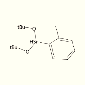 Cc1ccccc1[SiH](OC(C)(C)C)OC(C)(C)C